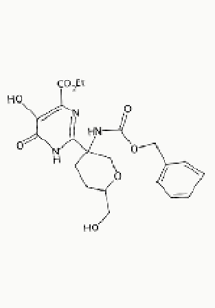 CCOC(=O)c1nc(C2(NC(=O)OCc3ccccc3)CCC(CO)OC2)[nH]c(=O)c1O